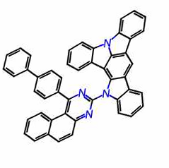 c1ccc(-c2ccc(-c3nc(-n4c5ccccc5c5cc6c7ccccc7n7c8ccccc8c(c54)c67)nc4ccc5ccccc5c34)cc2)cc1